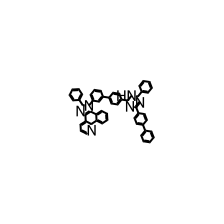 c1ccc(-c2ccc(C3=NC(c4ccccc4)NC(c4ccc(-c5cccc(-n6c(-c7ccccc7)nc7c8cccnc8c8ccccc8c76)c5)cc4)=N3)cc2)cc1